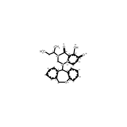 CCC(C)N1CN(C2c3ccccc3CSc3ccccc32)n2ccc(=O)c(O)c2C1=O